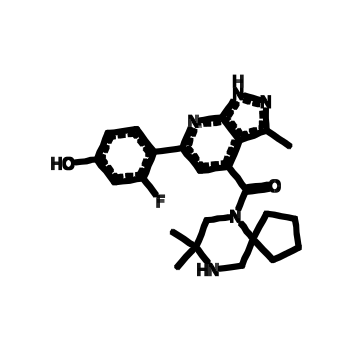 Cc1n[nH]c2nc(-c3ccc(O)cc3F)cc(C(=O)N3CC(C)(C)NCC34CCCC4)c12